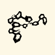 c1cc(-c2cccc(N(c3cccc(-c4ccc5oc6ccccc6c5c4)c3)c3cccc(-c4cccc5ccccc45)c3)c2)cc(-c2cccc3c2sc2ccccc23)c1